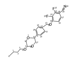 CCCCOC1COC(c2ccc(COc3ccc(C#N)c(F)c3F)cc2)CO1